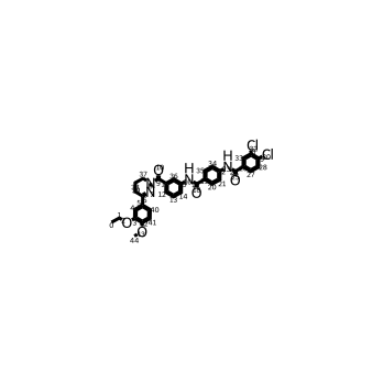 CCOc1cc(C2=NN(C(=O)c3cccc(NC(=O)c4ccc(NC(=O)c5ccc(Cl)c(Cl)c5)cc4)c3)CCC2)ccc1OC